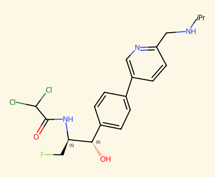 CC(C)NCc1ccc(-c2ccc([C@H](O)[C@@H](CF)NC(=O)C(Cl)Cl)cc2)cn1